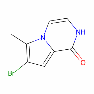 Cc1c(Br)cc2c(=O)[nH]ccn12